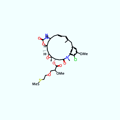 COc1cc2cc(c1Cl)N(C)C(=O)C[C@H](OC(=O)C(COCCSSC)OC)[C@]1(C)O[C@H]1[C@H](C)[C@@H]1C[C@H](C/C=C/C=C(\C)C2)NC(=O)O1